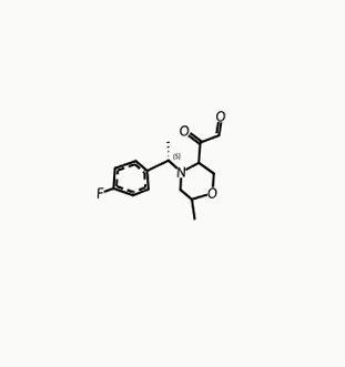 CC1CN([C@@H](C)c2ccc(F)cc2)C(C(=O)C=O)CO1